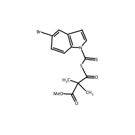 COC(=O)C(C)(C)C(=O)SC(=S)n1ccc2cc(Br)ccc21